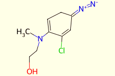 CN(CCO)C1=CCC(=[N+]=[N-])C=C1Cl